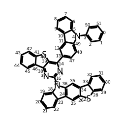 c1ccc(-n2c3ccccc3c3cc(-c4nc(-n5c6ccccc6c6cc7sc8ccccc8c7cc65)nc5c4sc4ccccc45)ccc32)cc1